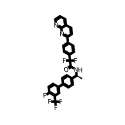 C[C@H](NC(=O)C(F)(F)c1ccc(-c2ccc3cccnc3n2)cc1)c1ccc(-c2ccc(F)c(C(F)(F)F)c2)cc1